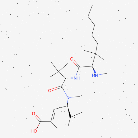 CCCCCC(C)(C)[C@@H](NC)C(=O)N[C@H](C(=O)N(C)[C@H](/C=C(\C)C(=O)O)C(C)C)C(C)(C)C